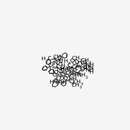 CC[C@H](C)[C@H](NC(=O)[C@@H]1C[C@@H]2CCCC[C@@H]2N1C(=O)[C@@H]1CCCN1C(=O)[C@H](CC(C)C)NC(=O)[C@H](COC(C)(C)C)NC(=O)[C@@H](N)CCCNC(=N)NS(=O)(=O)c1c(C)c(C)c2c(c1C)CC(C)(C)O2)C(=O)N[C@@H](CSC(c1ccccc1)(c1ccccc1)c1ccccc1)C(=O)N[C@H](C(=O)OC1CC=CCC1)[C@@H](C)CC